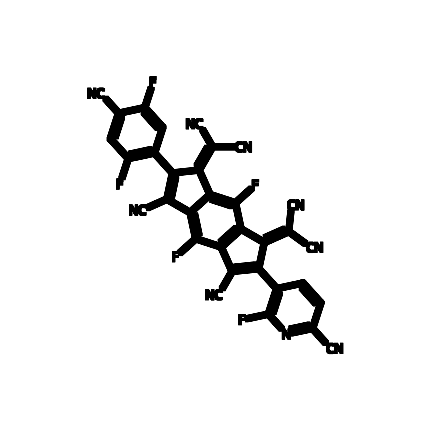 N#CC(C#N)=C1C(c2cc(F)c(C#N)cc2F)=C(C#N)c2c(F)c3c(c(F)c21)C(=C(C#N)C#N)C(c1ccc(C#N)nc1F)=C3C#N